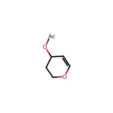 CC(=O)OC1C=COCC1